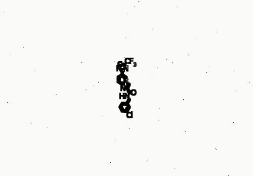 O=C(NCc1cccc(Cl)c1)c1cn2cc(-c3noc(C(F)(F)F)n3)ccc2n1